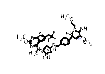 COCCOC(=N)/C(=C\C(=N)c1ccc(CN[C@H]2C[C@@H](O)[C@@H](N(C)c3nc(OC)nc4sc(CC(F)(F)F)cc34)C2)cc1)OC